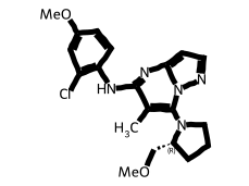 COC[C@H]1CCCN1c1c(C)c(Nc2ccc(OC)cc2Cl)nc2ccnn12